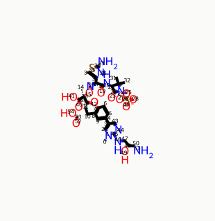 C[n+]1cc(-c2ccc3c(c2)CC[C@H]([C@](C)(O/N=C(\C(=O)N[C@@H]2C(=O)N(OS(=O)(=O)[O-])C2(C)C)c2csc(N)n2)C(=O)O)O3)cnc1NC[C@@H](O)CN.O=CO